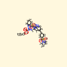 CC(C)(C)OC(=O)NCc1cc2c(-c3ccc(S(=O)(=O)N4CCCC4)cc3)ccnc2n1S(=O)(=O)c1ccccc1